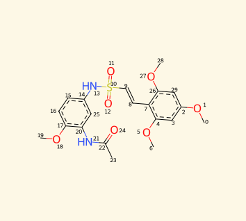 COc1cc(OC)c(/C=C/S(=O)(=O)Nc2ccc(OC)c(NC(C)=O)c2)c(OC)c1